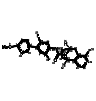 COc1ccc(-c2cc(F)c(NC(=O)N3[C@H]4CC[C@@H]3c3ccnc(F)c3C4)cc2F)cn1